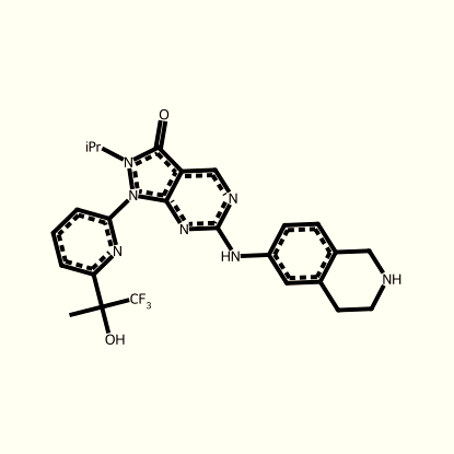 CC(C)n1c(=O)c2cnc(Nc3ccc4c(c3)CCNC4)nc2n1-c1cccc(C(C)(O)C(F)(F)F)n1